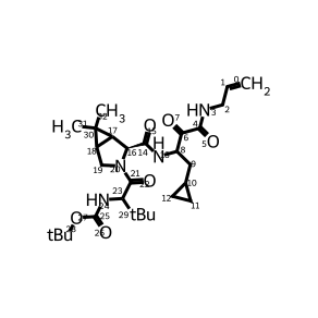 C=CCNC(=O)C(=O)C(CC1CC1)NC(=O)[C@@H]1C2C(CN1C(=O)C(NC(=O)OC(C)(C)C)C(C)(C)C)C2(C)C